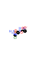 NS(=O)(=O)c1cc(NC(=O)Cc2ccccc2[N+](=O)[O-])ccc1-n1cc(Cl)cn1